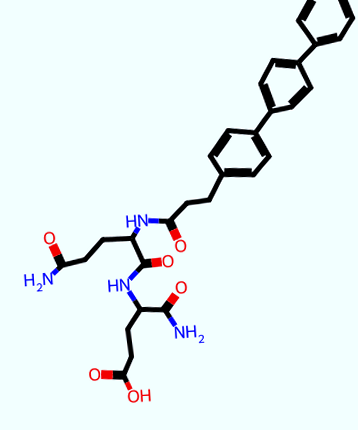 NC(=O)CCC(NC(=O)CCc1ccc(-c2ccc(-c3ccccc3)cc2)cc1)C(=O)NC(CCC(=O)O)C(N)=O